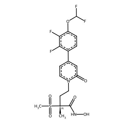 C[C@@](CCn1ccc(-c2ccc(OC(F)F)c(F)c2F)cc1=O)(C(=O)NO)S(C)(=O)=O